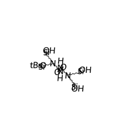 CC(C)(CCCCCCN(CCCCCCC(C)(C)[Si](C)(C)O)CCCCC1NC(=O)C(CCCCN(CCCCCCC(C)(C)[Si](C)(C)O)CCCCCO[Si](C)(C)C(C)(C)C)NC1=O)[Si](C)(C)O